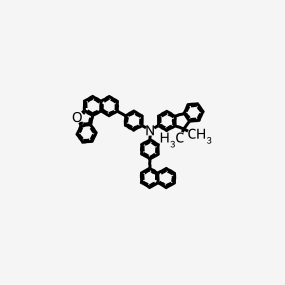 CC1(C)c2ccccc2-c2ccc(N(c3ccc(-c4ccc5ccc6oc7ccccc7c6c5c4)cc3)c3ccc(-c4cccc5ccccc45)cc3)cc21